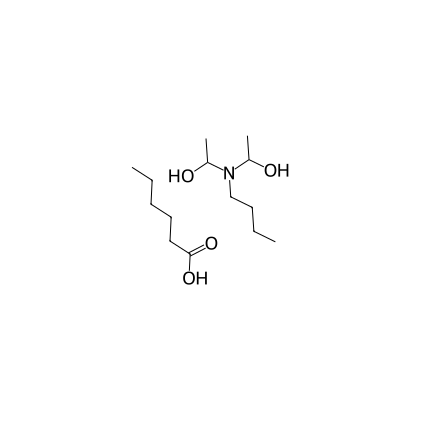 CCCCCC(=O)O.CCCCN(C(C)O)C(C)O